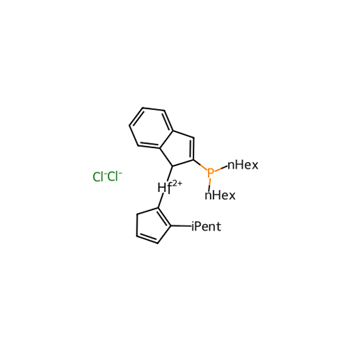 CCCCCCP(CCCCCC)C1=Cc2ccccc2[CH]1[Hf+2][C]1=C(C(C)CCC)C=CC1.[Cl-].[Cl-]